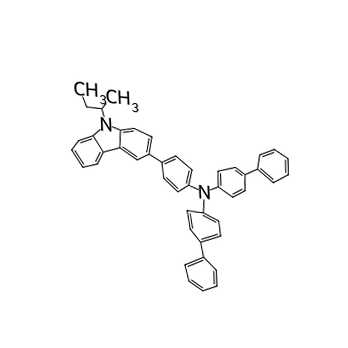 CCC(C)n1c2ccccc2c2cc(-c3ccc(N(c4ccc(-c5ccccc5)cc4)c4ccc(-c5ccccc5)cc4)cc3)ccc21